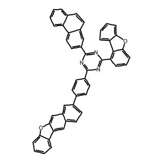 c1ccc2c(c1)ccc1cc(-c3nc(-c4ccc(-c5ccc6cc7c(cc6c5)oc5ccccc57)cc4)nc(-c4cccc5oc6ccccc6c45)n3)ccc12